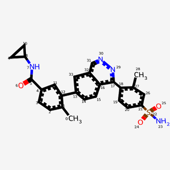 Cc1ccc(C(=O)NC2CC2)cc1-c1ccc2c(-c3ccc(S(N)(=O)=O)cc3C)nncc2c1